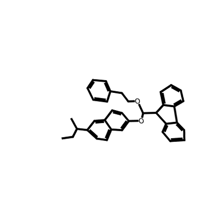 CCC(C)c1ccc2cc(OC(OCCc3ccccc3)C3c4ccccc4-c4ccccc43)ccc2c1